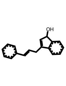 OC1C=C(CC=Cc2ccccc2)c2ccccc21